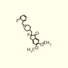 COc1cc2c(cc1OC)C(=O)C(F)(CC1CCN(Cc3ccccc3F)CC1)C2